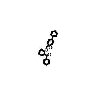 [O]C1(COc2ccccc2C(=O)c2ccccc2)C=CC(c2ccccc2)C=C1